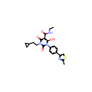 CCNC(=O)c1c(O)n(-c2ccc(-c3csc(C)n3)cc2)c(=O)n(CCC2CC2)c1=O